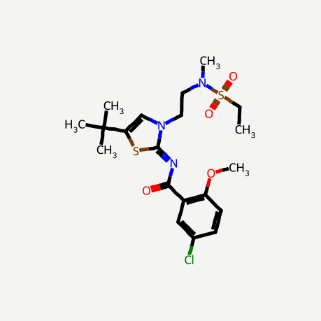 CCS(=O)(=O)N(C)CCn1cc(C(C)(C)C)s/c1=N\C(=O)c1cc(Cl)ccc1OC